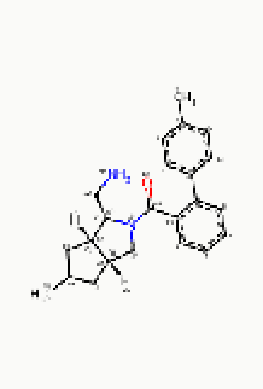 Cc1ccc(-c2ccccc2C(=O)N2C[C@@H]3CC(C)C[C@@H]3[C@H]2CN)cc1